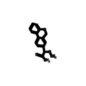 COC(C(N)=O)c1ccc2c(c1)COc1ccccc1-2